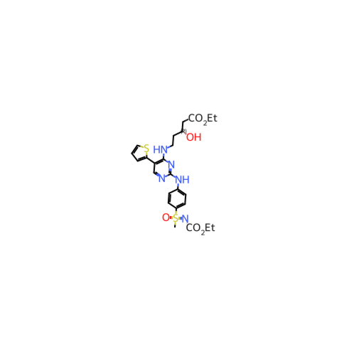 CCOC(=O)C[C@H](O)CCNc1nc(Nc2ccc(S(C)(=O)=NC(=O)OCC)cc2)ncc1-c1cccs1